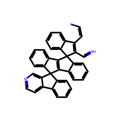 N=CC1=C(/C=C\I)c2ccccc2C12C1=C(c3ccccc32)C2(c3ccccc31)c1ccccc1-c1ccncc12